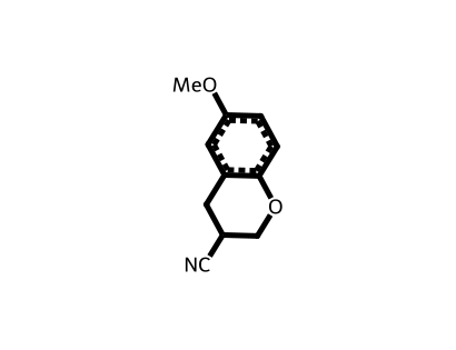 COc1ccc2c(c1)CC(C#N)CO2